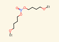 CCOCCCCO[N+](=O)OCCCCOCC